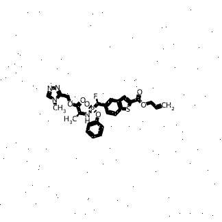 C=CCOC(=O)c1cc2cc([C@H](F)P(=O)(N[C@@H](C)C(=O)OCc3nncn3C)Oc3ccccc3)ccc2s1